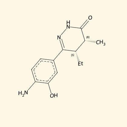 CC[C@@H]1C(c2ccc(N)c(O)c2)=NNC(=O)[C@@H]1C